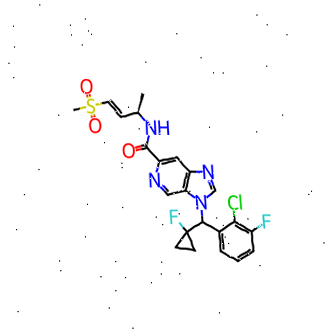 C[C@H](/C=C/S(C)(=O)=O)NC(=O)c1cc2ncn(C(c3cccc(F)c3Cl)C3(F)CC3)c2cn1